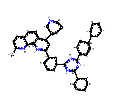 Cc1ccc2ccc3c(-c4cccnc4)cc(-c4cccc(-c5nc(-c6ccccc6)nc(-c6ccc(-c7ccccc7)cc6)n5)c4)nc3c2n1